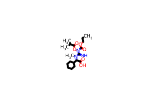 CCCOC(=O)N(OC(=O)C(C)C)C(=N)N(C)C(C(=O)O)C1CCCCC1